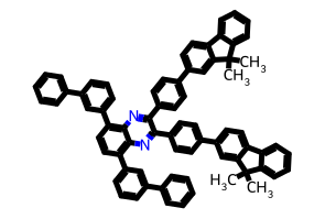 CC1(C)c2ccccc2-c2ccc(-c3ccc(-c4nc5c(-c6cccc(-c7ccccc7)c6)ccc(-c6cccc(-c7ccccc7)c6)c5nc4-c4ccc(-c5ccc6c(c5)C(C)(C)c5ccccc5-6)cc4)cc3)cc21